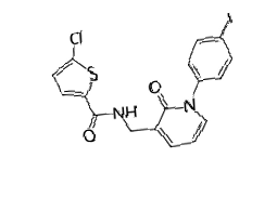 O=C(NCc1cccn(-c2ccc(I)cc2)c1=O)c1ccc(Cl)s1